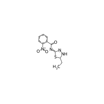 CCC1N[N]C(=NC(=O)c2ccccc2[N+](=O)[O-])S1